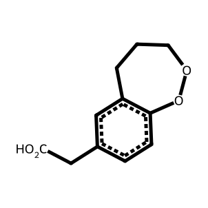 O=C(O)Cc1ccc2c(c1)CCCOO2